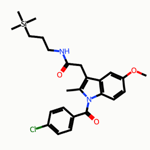 COc1ccc2c(c1)c(CC(=O)NCCC[Si](C)(C)C)c(C)n2C(=O)c1ccc(Cl)cc1